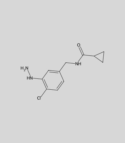 NNc1cc(CNC(=O)C2CC2)ccc1Cl